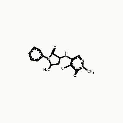 CC1CC(Nc2cnn(C)c(=O)c2Cl)C(=O)N1c1ccccc1